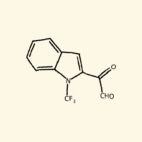 O=CC(=O)c1cc2ccccc2n1C(F)(F)F